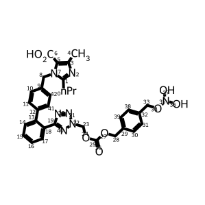 CCCc1nc(C)c(C(=O)O)n1Cc1ccc(-c2ccccc2-c2nnn(COC(=O)OCc3ccc(CON(O)O)cc3)n2)cc1